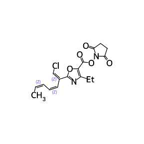 C\C=C/C=C\C(=C\Cl)c1nc(CC)c(C(=O)ON2C(=O)CCC2=O)o1